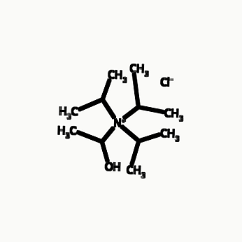 CC(C)[N+](C(C)C)(C(C)C)C(C)O.[Cl-]